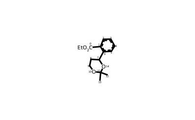 CCOC(=O)c1ccccc1C1CCOC(C)(C)O1